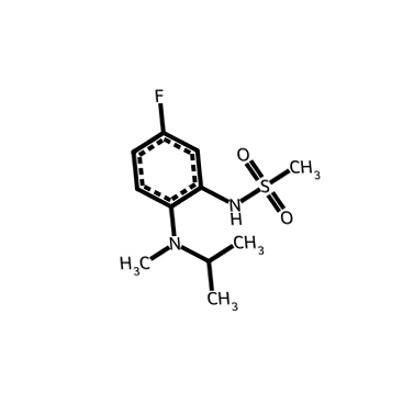 CC(C)N(C)c1ccc(F)cc1NS(C)(=O)=O